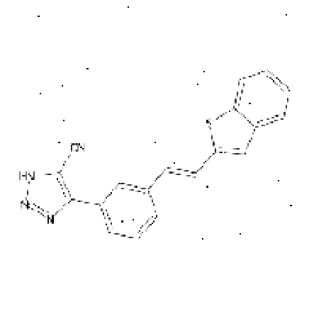 N#Cc1[nH]nnc1-c1cccc(C=Cc2cc3ccccc3s2)c1